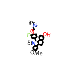 CCN(Cc1ccc(OCCN(C)C(C)C)c(F)c1)c1cc(OC)ccc1C1CCc2cc(O)ccc2C1